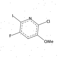 COc1cc(F)c(I)nc1Cl